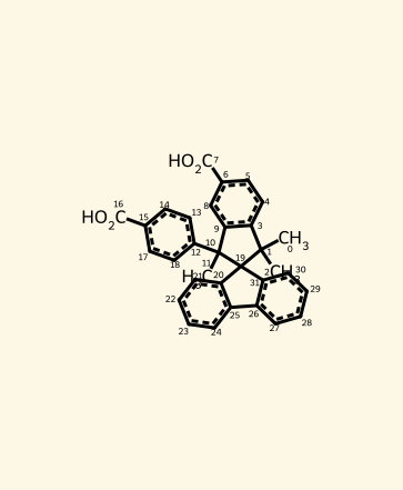 CC1(C)c2ccc(C(=O)O)cc2C(C)(c2ccc(C(=O)O)cc2)C12c1ccccc1-c1ccccc12